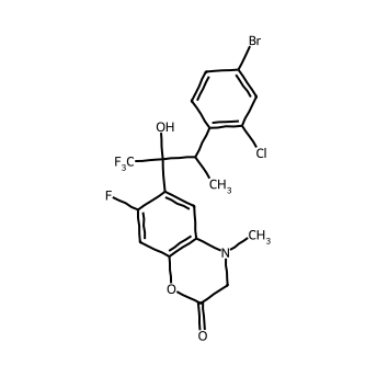 CC(c1ccc(Br)cc1Cl)C(O)(c1cc2c(cc1F)OC(=O)CN2C)C(F)(F)F